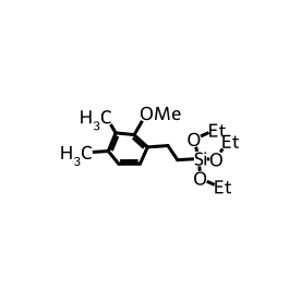 CCO[Si](CCc1ccc(C)c(C)c1OC)(OCC)OCC